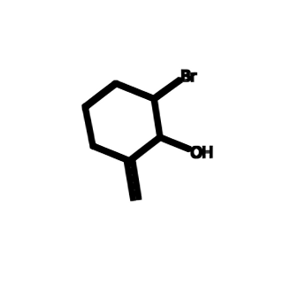 C=C1CCCC(Br)C1O